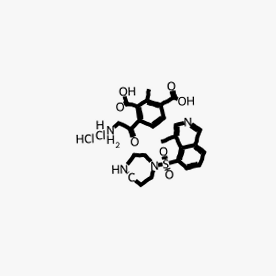 Cc1c(C(=O)O)ccc(C(=O)CN)c1C(=O)O.Cc1cncc2cccc(S(=O)(=O)N3CCCNCC3)c12.Cl.Cl